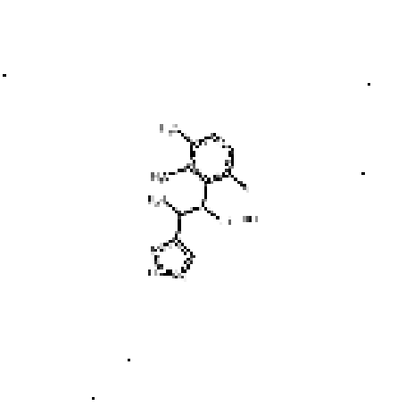 Cc1ccc(F)c(C(C)C(N)c2nn[nH]n2)c1C.Cl